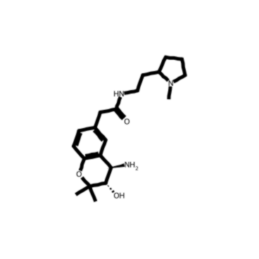 CN1CCCC1CCNC(=O)Cc1ccc2c(c1)[C@@H](N)[C@H](O)C(C)(C)O2